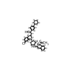 CN(C)c1nc(N[C@H]2CC[C@@H](NCC(CC(O)c3ccc(C4CCCCC4)cc3)Sc3ccc(Cl)cc3)CC2)nc2ccccc12